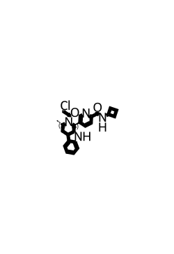 C[C@H]1CC2c3ccccc3NC2[C@H](c2ccc(C(=O)NC3CCC3)nc2)N1C(=O)CCl